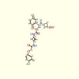 O=C(COc1ccc(Cl)c(F)c1)NC12CC(NC(=O)[C@@H]3C[C@@H](N[C@H]4C[C@@H](O)C4)c4cc(Cl)ccc4O3)(C1)C2